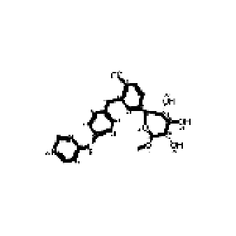 COC1O[C@@H](c2ccc(Cl)c(Cc3ccc(Oc4ccncc4)cc3)c2)[C@H](O)[C@@H](O)[C@@H]1O